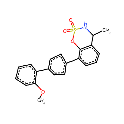 COc1ccccc1-c1ccc(-c2cccc3c2OS(=O)(=O)NC3C)cc1